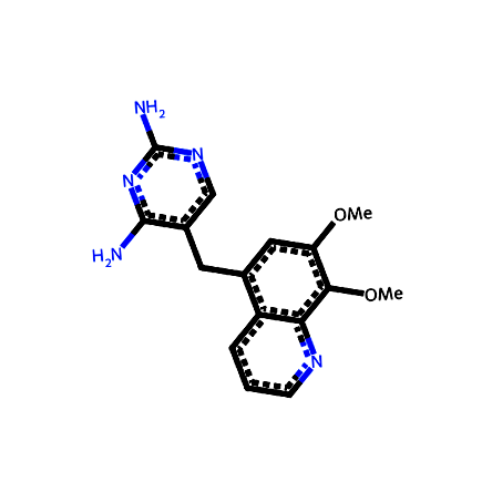 COc1cc(Cc2cnc(N)nc2N)c2cccnc2c1OC